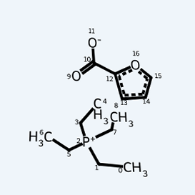 CC[P+](CC)(CC)CC.O=C([O-])c1ccco1